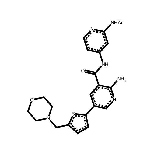 CC(=O)Nc1cc(NC(=O)c2cc(-c3ccc(CN4CCOCC4)s3)cnc2N)ccn1